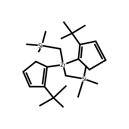 CC(C)(C)C1=[C]([Zr]([CH2][Si](C)(C)C)([CH2][Si](C)(C)C)[C]2=C(C(C)(C)C)C=CC2)CC=C1